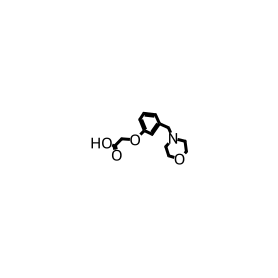 O=C(O)COc1cccc(CN2CCOCC2)c1